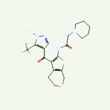 Cn1ncc(C(=O)c2c(NC(=O)CN3CCCCC3)sc3c2CCSC3)c1C(F)(F)F